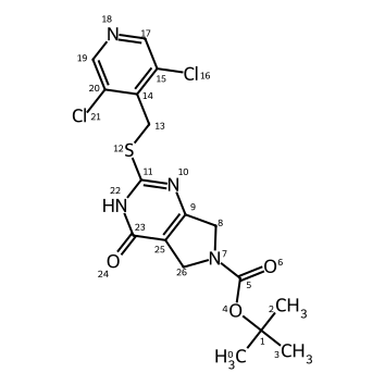 CC(C)(C)OC(=O)N1Cc2nc(SCc3c(Cl)cncc3Cl)[nH]c(=O)c2C1